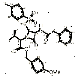 C=C(C)C(C(=O)OCc1ccc(OC)cc1)N1C(=O)C(NC(=O)Cc2ccccc2)C1SS(=O)(=O)c1ccc(C)cc1